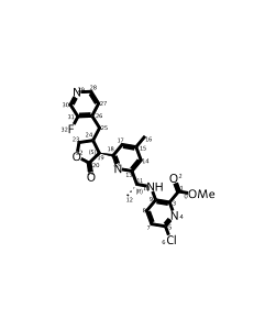 COC(=O)c1nc(Cl)ccc1N[C@H](C)c1cc(C)cc([C@H]2C(=O)OCC2Cc2ccncc2F)n1